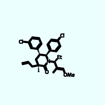 C=CC[C@@]1(C)C[C@H](c2cccc(Cl)c2)[C@@H](c2ccc(Cl)cc2)N([C@@H](CC)/C(C)=C/OC)C1=O